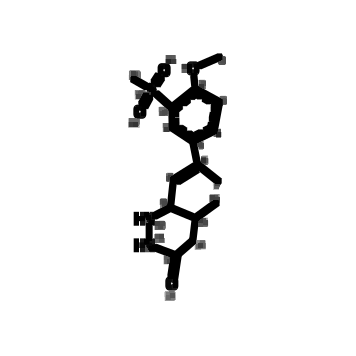 COc1ccc(/C(C)=C/C2NNC(=O)CC2C)cc1S(C)(=O)=O